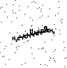 CCCCOCCNCCOCCOCC(C)=O